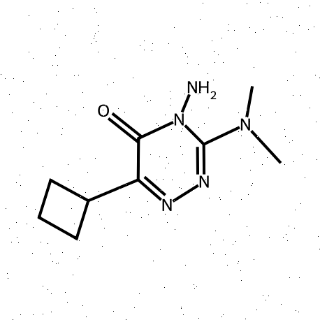 CN(C)c1nnc(C2CCC2)c(=O)n1N